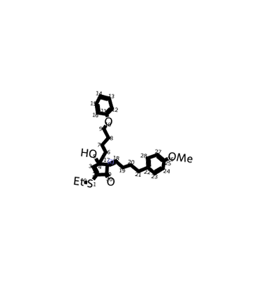 CCSC1=CC(O)(CCCCOc2ccccc2)/C(=C/CCCc2ccc(OC)cc2)C1=O